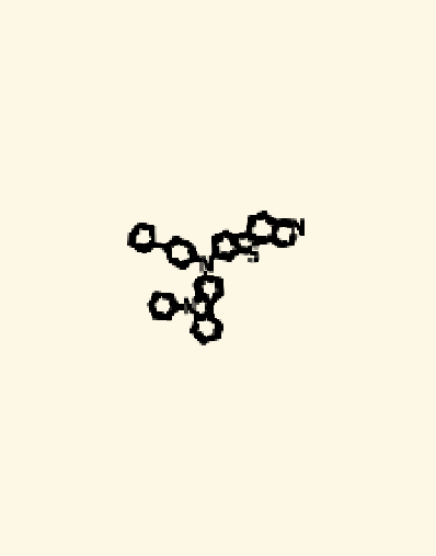 c1ccc(-c2ccc(N(c3ccc4c(c3)sc3c5ccncc5ccc43)c3ccc4c5ccccc5n(-c5ccccc5)c4c3)cc2)cc1